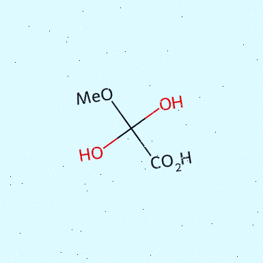 COC(O)(O)C(=O)O